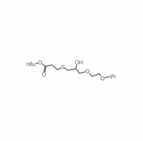 CCCCOC(=O)CCSCC(O)COCCOCCC